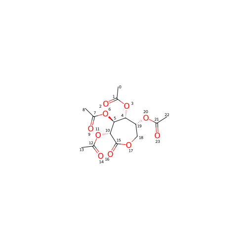 CC(=O)O[C@H]1[C@H](OC(C)=O)[C@@H](OC(C)=O)C(=O)OC[C@H]1OC(C)=O